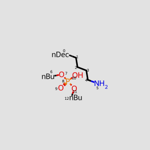 CCCCCCCCCCCCCCN.CCCCOP(=O)(O)OCCCC